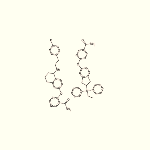 CC[N+](c1ccccc1)(c1ccccc1)C1Cc2ccc(Oc3ccc(C(N)=O)cn3)cc2C1.NC(=O)c1cnccc1Oc1ccc2c(c1)CCCC2NCCc1ccc(F)cc1